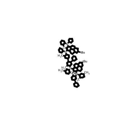 Cc1ccc(C)c(N(c2cc(-c3ccccc3)ccc2C)c2cc(N(c3cc(C)ccc3C)c3cc(-c4ccccc4)c(-c4ccc(N(c5ccccc5)c5cc(N(c6ccccc6)c6ccccc6C)c6ccc7cc(C(C)(C)C)cc8ccc5c6c78)c(C)c4)cc3C)c3ccc4cc(C(C)(C)C)cc5ccc2c3c54)c1